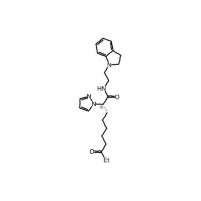 CCC(=O)CCCCC[C@@H](C(=O)NCCN1CCc2ccccc21)n1cccn1